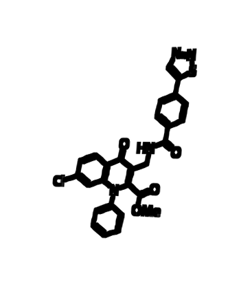 COC(=O)c1c(CNC(=O)c2ccc(-c3cnns3)cc2)c(=O)c2ccc(Cl)cc2n1-c1ccccc1